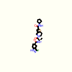 CC[C@@H](NC(=O)c1ccc2[nH]nc(F)c2c1)C(=O)N1CCc2sc(C(=O)NC3CCCC3)cc2C1